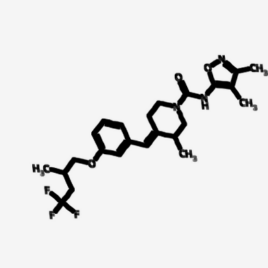 Cc1noc(NC(=O)N2CCC(=Cc3cccc(OCC(C)CC(F)(F)F)c3)C(C)C2)c1C